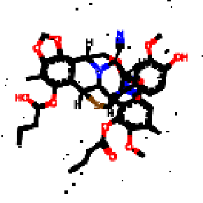 CCCC(=O)Oc1c(OC)c(C)cc2c1[C@@H]1C3[C@@H]4SC[C@]5(NCCc6cc(O)c(OC)cc65)C(=O)OC[C@@H](c5c6c(c(C)c(OC(O)CCC)c54)OCO6)N3[C@@H](C#N)[C@H](C2)N1C